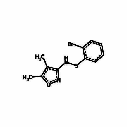 Cc1onc(NSc2ccccc2Br)c1C